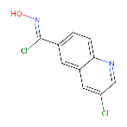 ON=C(Cl)c1ccc2ncc(Cl)cc2c1